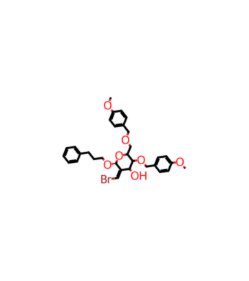 COc1ccc(COCC2O[C@H](OCCCc3ccccc3)/C(=C\Br)C(O)C2OCc2ccc(OC)cc2)cc1